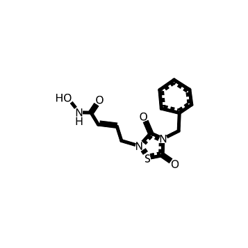 O=C(/C=C/Cn1sc(=O)n(Cc2ccccc2)c1=O)NO